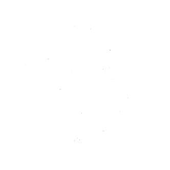 CC1(C)C=C(c2ccncc2)c2cc(-c3ccc(Cl)cc3)c(-c3ccccc3Cl)nc2O1